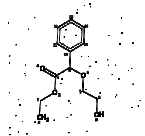 CCOC(=O)C(OCCO)c1ccccc1